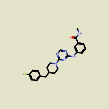 CNC(=O)c1cccc(Nc2ncnc(N3CCC(Cc4ccc(F)cc4)CC3)n2)c1